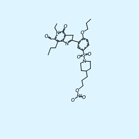 CCCOc1ccc(S(=O)(=O)N2CCC(CCCO[N+](=O)[O-])CC2)cc1C1=Nc2c(CCC)c(C=O)n(CC)c(=O)c2C1